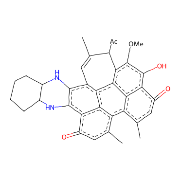 COc1c(O)c2c(=O)cc(C)c3c4c(C)cc(=O)c5c6c(c7c(c(c1C(C(C)=O)C(C)=C7)c23)c54)NC1CCCCC1N6